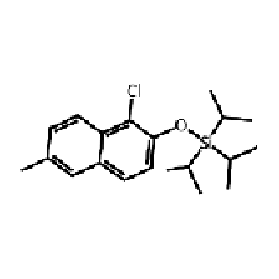 Cc1ccc2c(Cl)c(O[Si](C(C)C)(C(C)C)C(C)C)ccc2c1